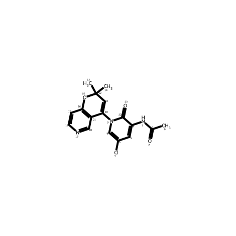 CC(=O)Nc1cc(Cl)cn(C2=CC(C)(C)Oc3ccncc32)c1=O